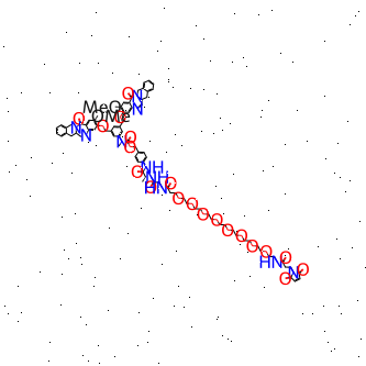 COc1cc2c(cc1OCc1cc(COc3cc4c(cc3OC)C(=O)N3Cc5ccccc5CC3C=N4)cc(N(C)C(=O)OCc3ccc(NC(=O)[C@H](C)NC(=O)CNC(=O)CCOCCOCCOCCOCCOCCOCCOCCOCCNC(=O)CCN4C(=O)C=CC4=O)cc3)c1)N=CC1Cc3ccccc3CN1C2=O